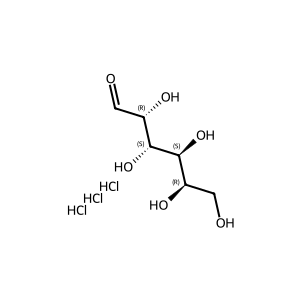 Cl.Cl.Cl.O=C[C@H](O)[C@@H](O)[C@@H](O)[C@H](O)CO